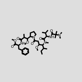 CCC(C)C(C(CC(=O)N1CCCC1C(OC)C(C)C(=O)NC(Cc1ccccc1)C(=O)OC)OC)N(C)C(=O)C(NC(=O)C(C)(C)N(C)C)C(C)C